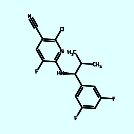 CC(C)[C@H](Nc1nc(Cl)c(C#N)cc1F)c1cc(F)cc(F)c1